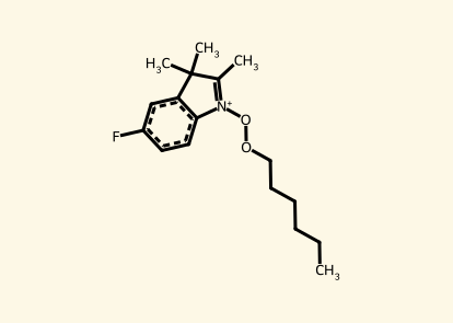 CCCCCCOO[N+]1=C(C)C(C)(C)c2cc(F)ccc21